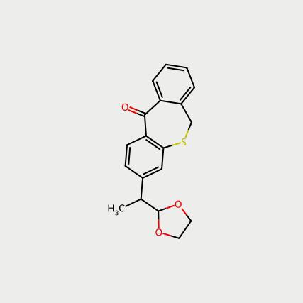 CC(c1ccc2c(c1)SCc1ccccc1C2=O)C1OCCO1